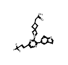 O=C(O)CC1CC2(C1)CN(c1nc(CCC(F)(F)F)cnc1-c1ccc3occc3c1)C2